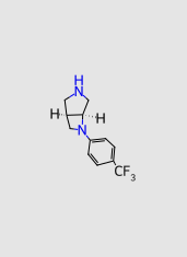 FC(F)(F)c1ccc(N2C[C@H]3CNC[C@H]32)cc1